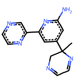 CC1(c2cc(N)nc(-c3cnccn3)c2)CN=CC=N1